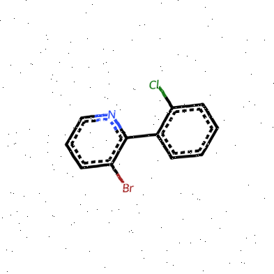 Clc1ccccc1-c1ncccc1Br